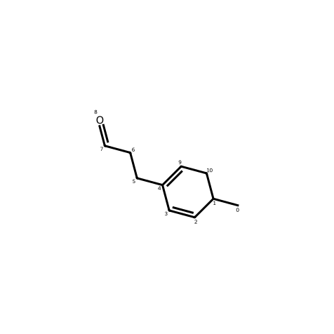 CC1C=CC(CCC=O)=CC1